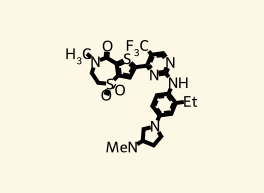 CCc1cc(N2CCC(NC)C2)ccc1Nc1ncc(C(F)(F)F)c(-c2cc3c(s2)C(=O)N(C)CCS3(=O)=O)n1